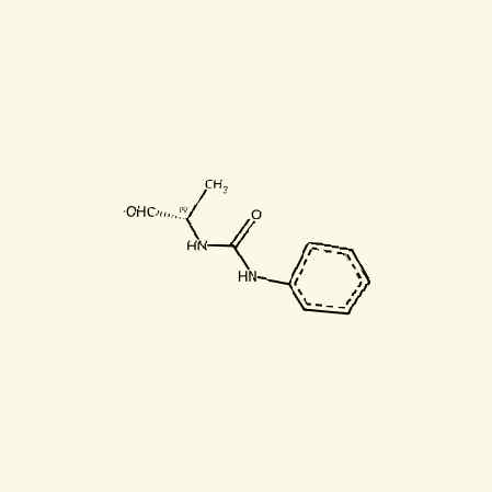 C[C@@H]([C]=O)NC(=O)Nc1ccccc1